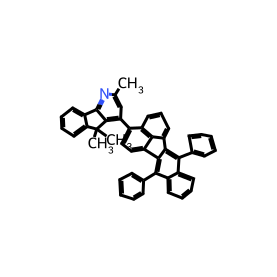 Cc1cc(-c2ccc3c4c(cccc24)-c2c-3c(-c3ccccc3)c3ccccc3c2-c2ccccc2)c2c(n1)-c1ccccc1C2(C)C